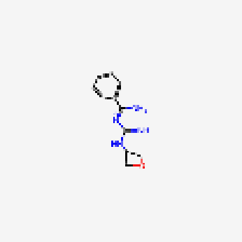 N=C(/N=C(\N)c1ccccc1)NC1COC1